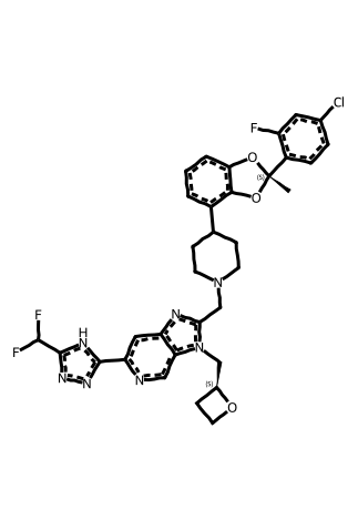 C[C@]1(c2ccc(Cl)cc2F)Oc2cccc(C3CCN(Cc4nc5cc(-c6nnc(C(F)F)[nH]6)ncc5n4C[C@@H]4CCO4)CC3)c2O1